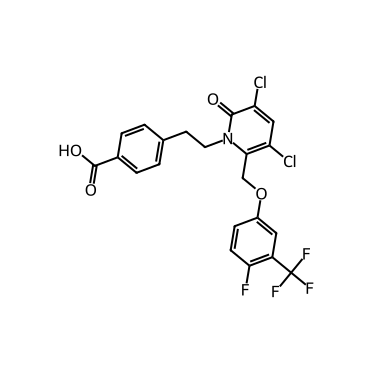 O=C(O)c1ccc(CCn2c(COc3ccc(F)c(C(F)(F)F)c3)c(Cl)cc(Cl)c2=O)cc1